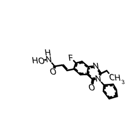 CCc1nc2cc(F)c(/C=C/C(=O)NO)cc2c(=O)n1-c1ccccc1